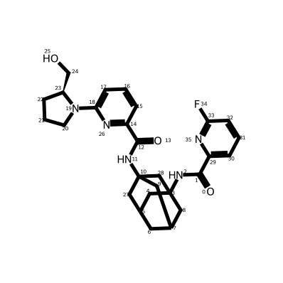 O=C(NC12CC3CC(C1)CC(NC(=O)c1cccc(N4CCC[C@H]4CO)n1)(C3)C2)c1cccc(F)n1